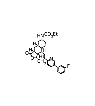 CCOC(=O)N[C@@H]1CC[C@@H]2[C@@H](C1)C[C@H]1C(=O)O[C@H](C)[C@H]1[C@@H]2/C=C/c1ccc(-c2cccc(F)c2)cn1